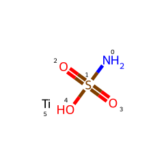 NS(=O)(=O)O.[Ti]